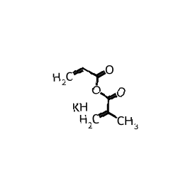 C=CC(=O)OC(=O)C(=C)C.[KH]